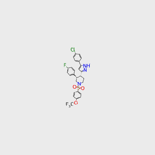 O=S(=O)(c1ccc(OC(F)(F)F)cc1)N1CC[C@@H](c2cc(-c3ccc(Cl)cc3)[nH]n2)[C@H](c2ccc(F)cc2)C1